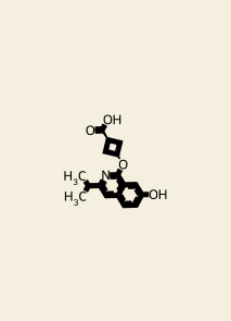 CC(C)c1cc2ccc(O)cc2c(O[C@H]2C[C@H](C(=O)O)C2)n1